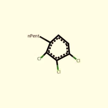 [CH2]CCCCc1ccc(Cl)c(Cl)c1Cl